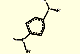 CC(C)P(c1[c]cc(P(C(C)C)C(C)C)cc1)C(C)C